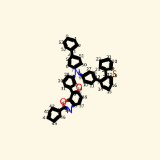 c1ccc(-c2ccc(N(c3ccc(-c4cccc5sc6ccccc6c45)cc3)c3cccc4c3oc3ccc5nc(-c6ccccc6)oc5c34)cc2)cc1